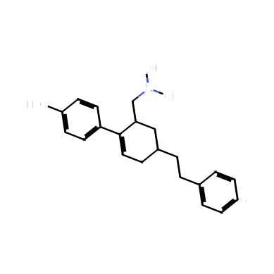 Cc1ccc(C2=CCC(CCc3ccccc3)CC2CN(C)C)cc1